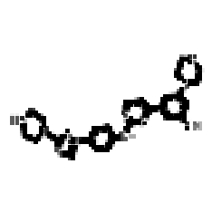 N#Cc1cc(-c2ccnc(Nc3ccc(-n4cnc(N5CCNCC5)n4)cc3)n2)cc(N2CCOCC2)c1